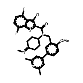 CN=C1CCC(N(Cc2cc(-c3cc(C)nc(C)c3)ccc2OC)C(=O)c2sc3c(F)ccc(F)c3c2Cl)CC1